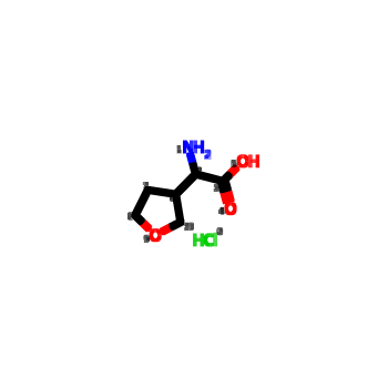 Cl.NC(C(=O)O)C1CCOC1